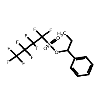 CCC(OS(=O)(=O)C(F)(F)C(F)(F)C(F)(F)C(F)(F)F)c1ccccc1